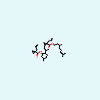 C=CCC1(C(=O)OC2CC(C)CCC2C(C)CC2CC2(CC=C)C(=O)OCCC(C)CCC=C(C)C)CC1